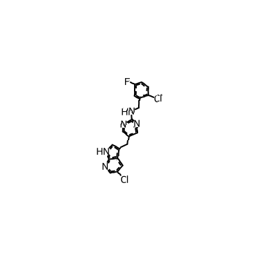 Fc1ccc(Cl)c(CNc2ncc(Cc3c[nH]c4ncc(Cl)cc34)cn2)c1